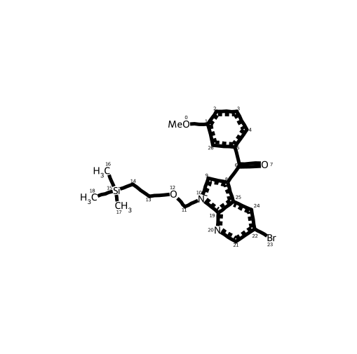 COc1cccc(C(=O)c2cn(COCC[Si](C)(C)C)c3ncc(Br)cc23)c1